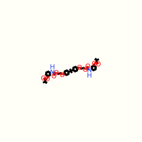 C=C(C)C(=O)Oc1cccc(NC(=O)OCCOc2ccc(C(C)(C)c3ccc(OCCOC(=O)Nc4cccc(OC(=O)C(=C)C)c4)cc3)cc2)c1